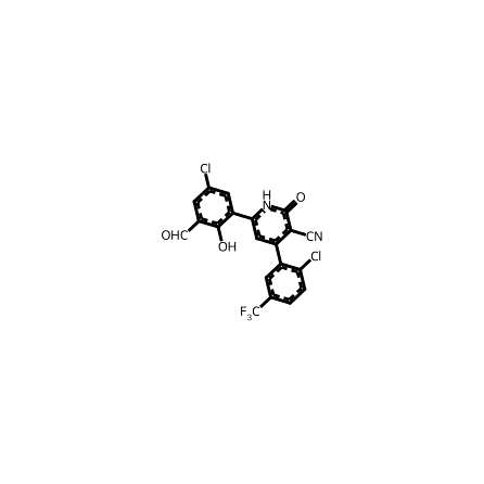 N#Cc1c(-c2cc(C(F)(F)F)ccc2Cl)cc(-c2cc(Cl)cc(C=O)c2O)[nH]c1=O